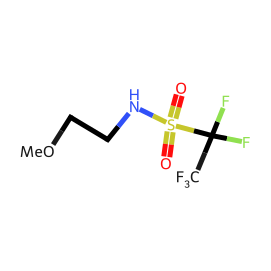 COCCNS(=O)(=O)C(F)(F)C(F)(F)F